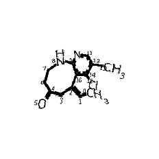 C/C=C1/CC(=O)CCNc2ncc(C)c(Cl)c21